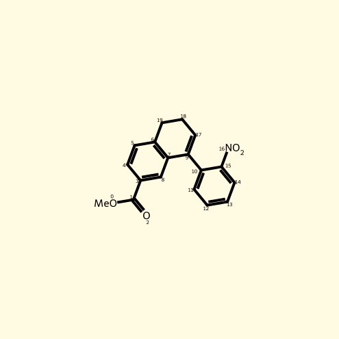 COC(=O)c1ccc2c(c1)C(c1ccccc1[N+](=O)[O-])=CCC2